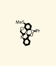 CSc1ccc(OC(C)C)c(-n2c(CCl)nc3ccccc3c2=O)c1